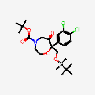 CC(C)(C)OC(=O)N1CCOC(CO[Si](C)(C)C(C)(C)C)(c2ccc(Cl)c(Cl)c2)C(=O)C1